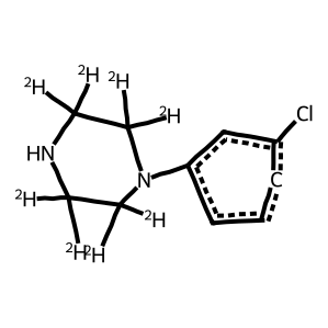 [2H]C1([2H])NC([2H])([2H])C([2H])([2H])N(c2cccc(Cl)c2)C1([2H])[2H]